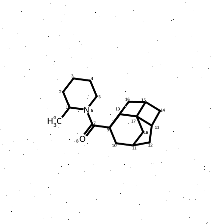 CC1CCCCN1C(=O)C12CC3CC4CC(C1)C4(C3)C2